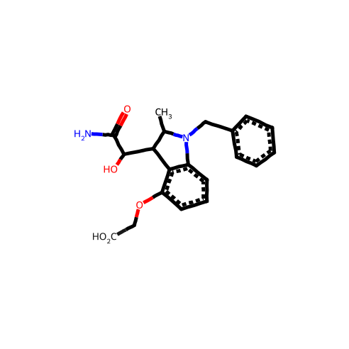 CC1C(C(O)C(N)=O)c2c(OCC(=O)O)cccc2N1Cc1ccccc1